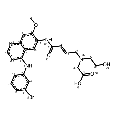 COc1cc2ncnc(Nc3cccc(Br)c3)c2cc1NC(=O)/C=C/CN(CCO)CC(=O)O